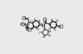 O=CC(c1ccc(N(C(=O)c2ccc(Cl)cc2)C2CCCC2)cc1Cl)[N+](=O)[O-]